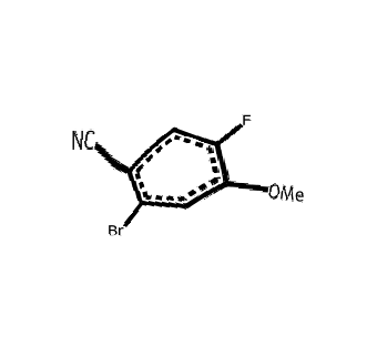 COc1cc(Br)c(C#N)cc1F